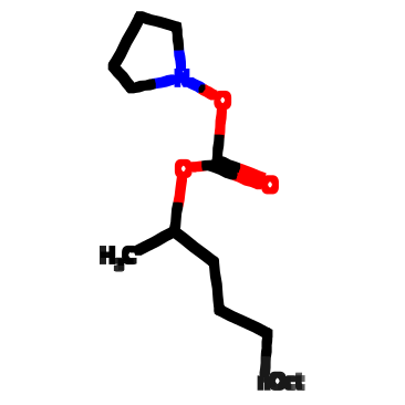 CCCCCCCCCCCC(C)OC(=O)ON1CCCC1